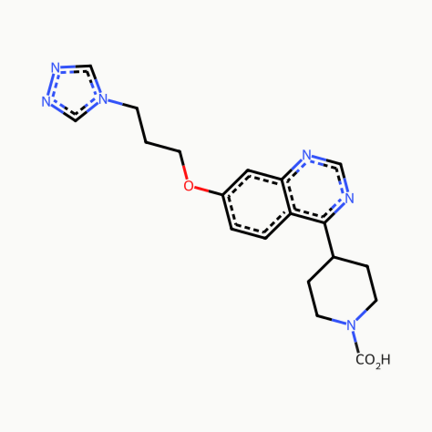 O=C(O)N1CCC(c2ncnc3cc(OCCCn4cnnc4)ccc23)CC1